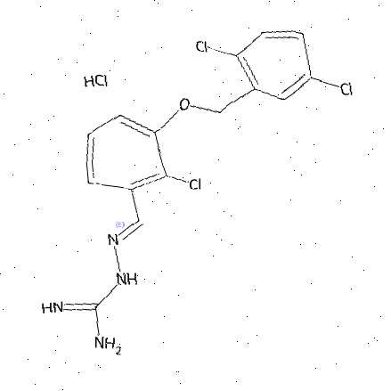 Cl.N=C(N)N/N=C/c1cccc(OCc2cc(Cl)ccc2Cl)c1Cl